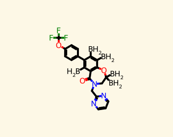 Bc1c(B)c(-c2ccc(OC(F)(F)F)cc2)c(B)c2c1OC(B)(B)CN(Cc1ncccn1)C2=O